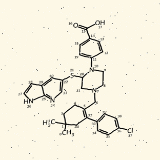 CC1(C)CCC(CN2CCN(c3ccc(C(=O)O)cc3)C(Sc3cnc4[nH]ccc4c3)C2)=C(c2ccc(Cl)cc2)C1